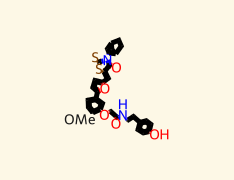 COc1ccc(-c2ccc(/C=C3\SC(=S)N(C4CC5CCC4C5)C3=O)o2)cc1OCC(=O)NCCc1ccc(O)cc1